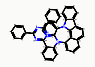 c1ccc(-c2nc(-c3ccccc3)nc(-c3ccccc3-n3c4cccc5ccc6c7ccccc7n(c7cccnc73)c6c54)n2)cc1